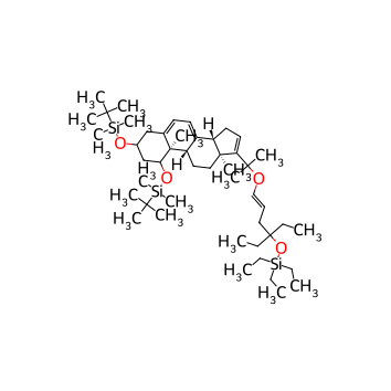 CCC(CC)(CC=COC(C)(C)C1=CC[C@H]2C3=CC=C4CC(O[Si](C)(C)C(C)(C)C)CC(O[Si](C)(C)C(C)(C)C)[C@]4(C)[C@H]3CC[C@]12C)O[Si](CC)(CC)CC